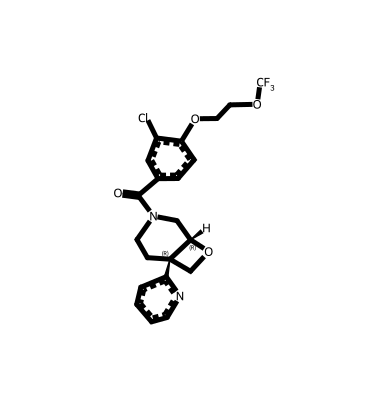 O=C(c1ccc(OCCOC(F)(F)F)c(Cl)c1)N1CC[C@@]2(c3ccccn3)CO[C@H]2C1